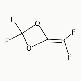 FC(F)=C1OC(F)(F)O1